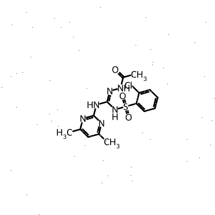 CC(=O)N/N=C(/Nc1nc(C)cc(C)n1)NS(=O)(=O)c1ccccc1Cl